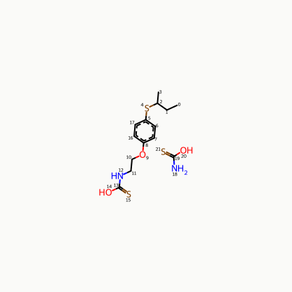 CCC(C)Sc1ccc(OCCNC(O)=S)cc1.NC(O)=S